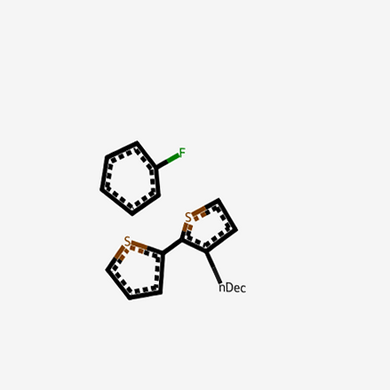 CCCCCCCCCCc1ccsc1-c1cccs1.Fc1ccccc1